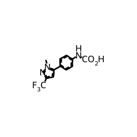 Cn1nc(C(F)(F)F)cc1-c1ccc(NC(=O)O)cc1